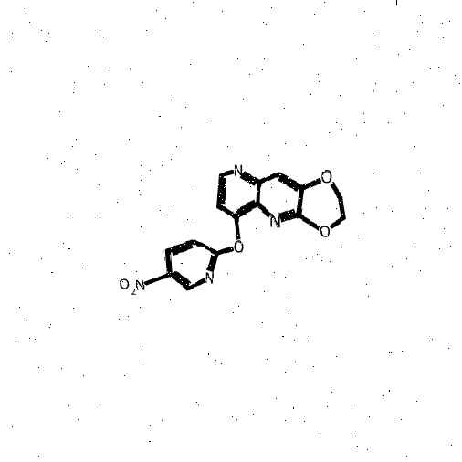 O=[N+]([O-])c1ccc(Oc2ccnc3cc4c(nc23)OCCO4)nc1